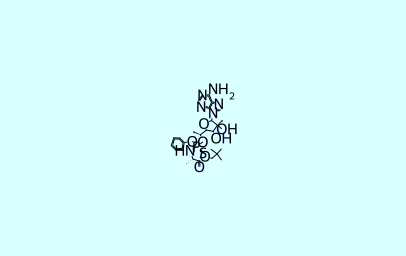 C[C@H](NP(=S)(Oc1ccccc1)O[C@@H](C)[C@H]1O[C@@H](n2cnc3c(N)ncnc32)[C@](C)(O)[C@@H]1O)C(=O)OCC(C)(C)C